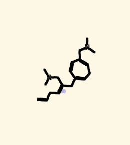 C=CC/C=C(/CC1=CCC=C(CN(C)C)C=C1)CN(C)C